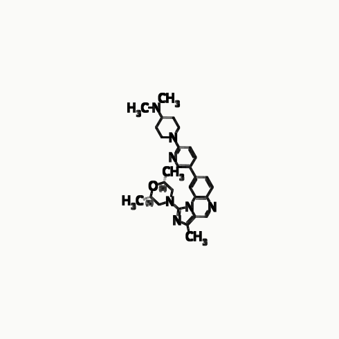 Cc1nc(N2C[C@@H](C)O[C@@H](C)C2)n2c1cnc1ccc(-c3ccc(N4CCC(N(C)C)CC4)nc3)cc12